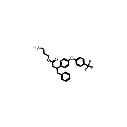 CCCCOC(=O)CC(Cc1ccccc1)c1ccc(Oc2ccc(C(F)(F)F)cc2)cc1